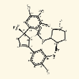 CC(C)[C@@H]1CC[C@@H](C)CC1OC(=O)[C@@H]1C(c2ccc(F)c(Br)c2)=NC[C@@]1(c1cc(Cl)c(Cl)c(Cl)c1)C(F)(F)F